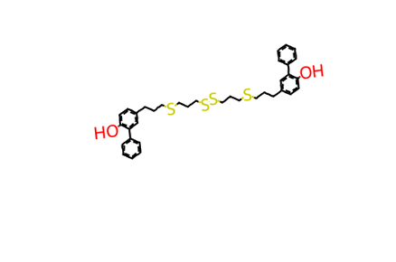 Oc1ccc(CCCSCCCSSCCCSCCCc2ccc(O)c(-c3ccccc3)c2)cc1-c1ccccc1